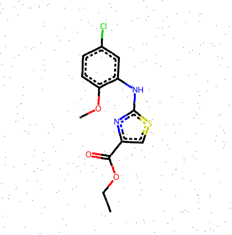 CCOC(=O)c1csc(Nc2cc(Cl)ccc2OC)n1